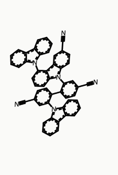 N#Cc1ccc(-c2ccc(C#N)cc2-n2c3ccc(C#N)cc3c3c(-n4c5ccccc5c5ccccc54)cccc32)c(-n2c3ccccc3c3ccccc32)c1